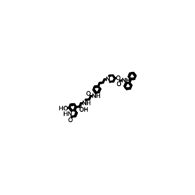 O=C(CCNC[C@H](O)c1ccc(O)c2[nH]c(=O)ccc12)Nc1ccc(CCCN2CCC(OC(=O)Nc3ccccc3-c3ccccc3)CC2)cc1